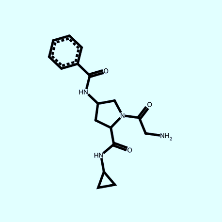 NCC(=O)N1CC(NC(=O)c2ccccc2)CC1C(=O)NC1CC1